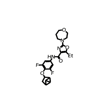 CCc1oc(N2CCCOCC2)nc1C(=O)Nc1cc(F)c(OC2CC3C4C2C34)c(F)c1